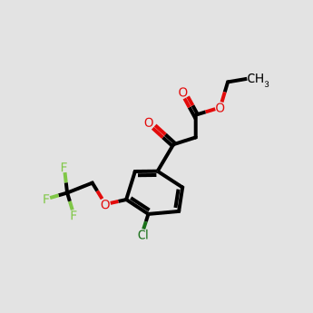 CCOC(=O)CC(=O)c1ccc(Cl)c(OCC(F)(F)F)c1